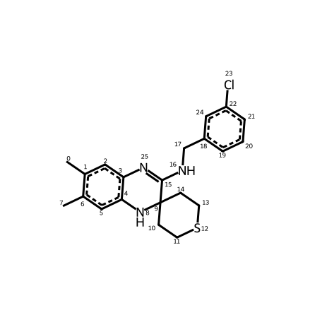 Cc1cc2c(cc1C)NC1(CCSCC1)C(NCc1cccc(Cl)c1)=N2